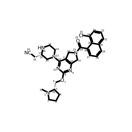 CN1CCC[C@H]1COc1nc2c(c(N3CCN[C@@H](CC#N)C3)n1)CN(C(=O)c1cccc3cccc(Cl)c13)C2